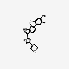 CCc1cc(O)c(F)cc1-c1ccc2c(-c3nc(C4=CCNCC4)c[nH]3)n[nH]c2c1F